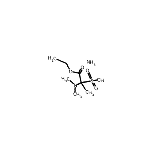 CCOC(=O)C(C)(N(C)C)S(=O)(=O)O.N